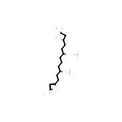 O=C1CC(CCC(O)CCCC(O)CCC2CC(=O)O2)O1